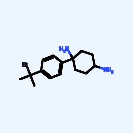 CCC(C)(C)c1ccc(C2(N)CCC(N)CC2)cc1